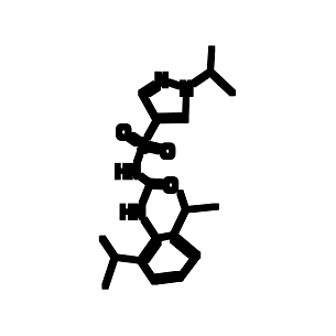 CC(C)c1cccc(C(C)C)c1NC(=O)NS(=O)(=O)c1cnn(C(C)C)c1